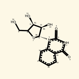 O=c1[nH]c(=O)n([C@@H]2OC(CO)[C@@H](O)[C@H]2O)c2ccccc12